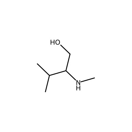 CNC(CO)C(C)C